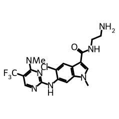 CNc1nc(Nc2cc3c(cc2Cl)c(C(=O)NCCN)cn3C)ncc1C(F)(F)F